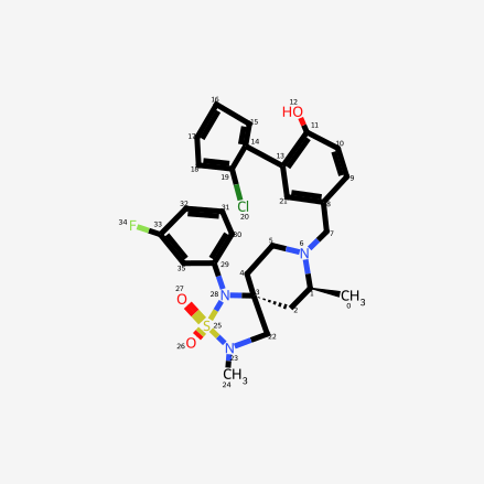 C[C@H]1C[C@]2(CCN1Cc1ccc(O)c(-c3ccccc3Cl)c1)CN(C)S(=O)(=O)N2c1cccc(F)c1